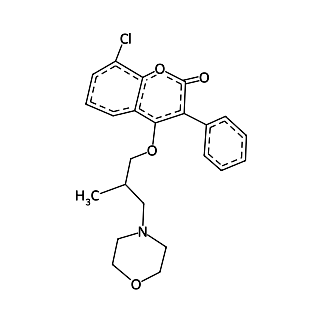 CC(COc1c(-c2ccccc2)c(=O)oc2c(Cl)cccc12)CN1CCOCC1